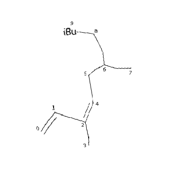 C=CC(C)=CCC(C)CC(C)CC